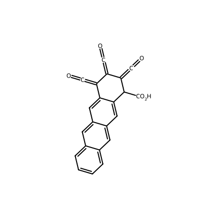 O=C=C1C(=C=O)c2cc3cc4ccccc4cc3cc2C(C(=O)O)C1=C=O